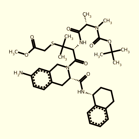 COC(=O)CSC(C)(C)[C@H](NC(=O)[C@H](C)N(C)C(=O)OC(C)(C)C)C(=O)N1Cc2cc(N)ccc2C[C@H]1C(=O)N[C@@H]1CCCc2ccccc21